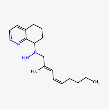 CCCC/C=C\C=C(/C)CN(N)C1CCCc2cccnc21